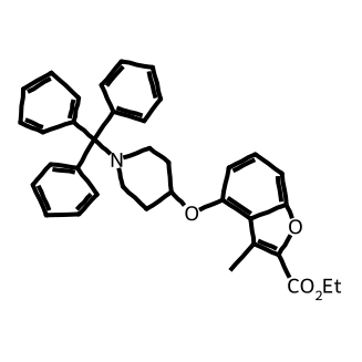 CCOC(=O)c1oc2cccc(OC3CCN(C(c4ccccc4)(c4ccccc4)c4ccccc4)CC3)c2c1C